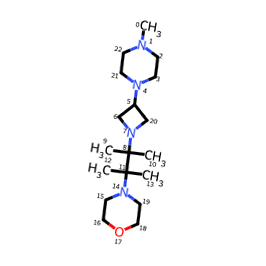 CN1CCN(C2CN(C(C)(C)C(C)(C)N3CCOCC3)C2)CC1